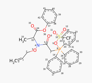 C=CCON(C(=O)CP(OS(=O)(=O)C(F)(F)F)(c1ccccc1)(c1ccccc1)c1ccccc1)C(C)C(=O)Oc1ccccc1